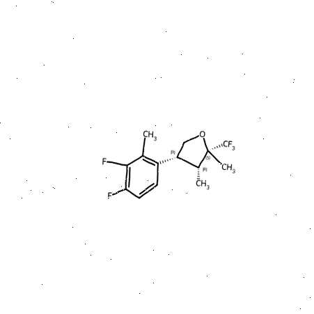 Cc1c([C@@H]2CO[C@](C)(C(F)(F)F)[C@@H]2C)ccc(F)c1F